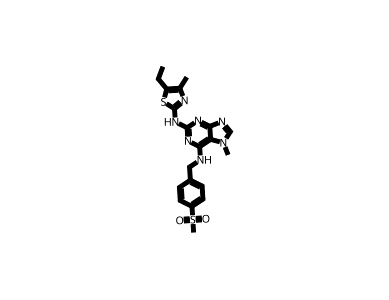 CCc1sc(Nc2nc(NCc3ccc(S(C)(=O)=O)cc3)c3c(ncn3C)n2)nc1C